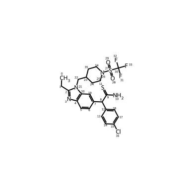 CCc1nc2ccc(C(C(N)=S)c3ccc(Cl)cc3)cc2n1CC1CCN(S(=O)(=O)C(F)(F)F)CC1